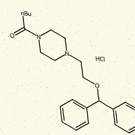 CCCCC(=O)N1CCN(CCOC(c2ccccc2)c2ccccc2)CC1.Cl